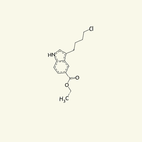 CCOC(=O)c1ccc2[nH]cc(CCCCCl)c2c1